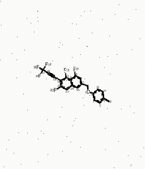 Cc1ccc(OCc2cc(F)c3c(F)c(C#CC(F)(F)F)c(F)cc3c2)cc1